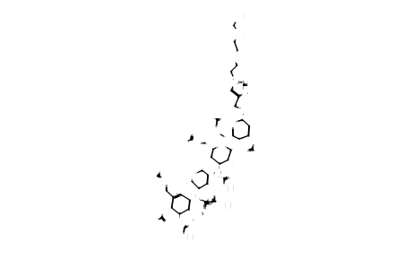 CCOCCOCCn1cc(CO[C@@H]2O[C@H](COC(C)=O)[C@@H](O[C@H]3O[C@H](COC(C)=O)[C@@H](O[C@H]4O[C@H](C)[C@@H](N(C(C)=O)[C@H]5C=C(COC(C)=O)[C@@H](OC(C)=O)[C@H](OC(C)=O)[C@H]5C)[C@H](OC(C)=O)[C@H]4C)[C@H](OC(C)=O)[C@H]3C)[C@H](OC(C)=O)[C@H]2C)nn1